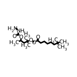 CC(CC(C)(C)OOC(=O)CCCCCC(C)(C)C)OC(=O)NN